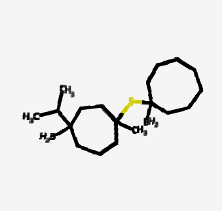 BC1(SC2(C)CCCC(B)(C(C)C)CC2)CCCCCCC1